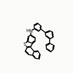 c1ccc(-c2cccc(-c3cccc(Nc4ccc5c(c4)sc4ccc6ccccc6c45)c3)c2)cc1